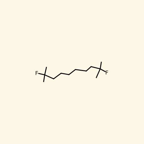 CC(C)(F)CCCCCCC(C)(C)F